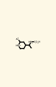 CC(=O)C1CC(C(C)NC(=O)O)CCN1